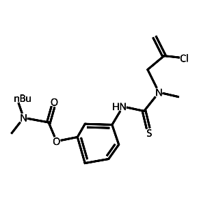 C=C(Cl)CN(C)C(=S)Nc1cccc(OC(=O)N(C)CCCC)c1